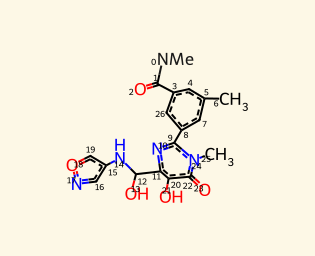 CNC(=O)c1cc(C)cc(-c2nc(C(O)Nc3cnoc3)c(O)c(=O)n2C)c1